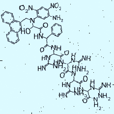 N=C(N)NC(NC(=O)C(NC(=N)N)NC(=O)C(NC(=N)N)NC(=O)C(NC(=N)N)NC(=O)C(NC(=O)C(O)N(Cc1cc2ccccc2c2ccccc12)c1cc(N)c([N+](=O)[O-])cc1[N+](=O)[O-])c1ccccc1)C(N)=O